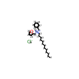 CCCCCCCCCCCCC[N+](C)(Cc1ccccc1)Cc1ccco1.[Cl-]